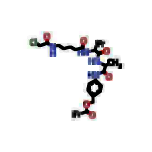 CC(C)C(=O)OCc1ccc(NC(=O)[C@H](C)NC(=O)C(NC(=O)CCCCNC(=O)CCl)C(C)C)cc1